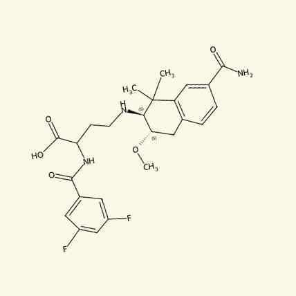 CO[C@H]1Cc2ccc(C(N)=O)cc2C(C)(C)[C@@H]1NCCC(NC(=O)c1cc(F)cc(F)c1)C(=O)O